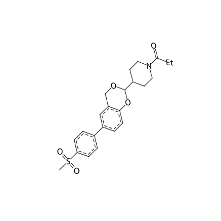 CCC(=O)N1CCC(C2OCc3cc(-c4ccc(S(C)(=O)=O)cc4)ccc3O2)CC1